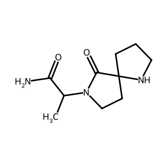 CC(C(N)=O)N1CCC2(CCCN2)C1=O